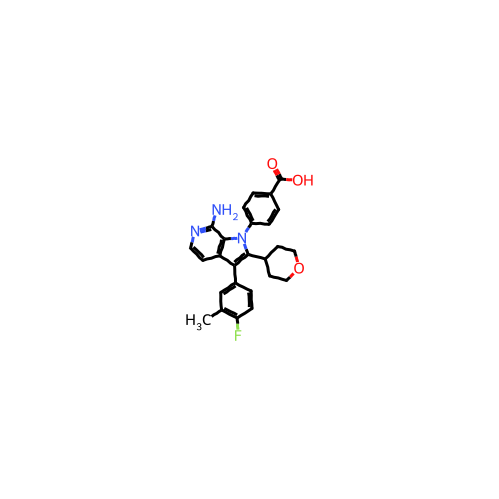 Cc1cc(-c2c(C3CCOCC3)n(-c3ccc(C(=O)O)cc3)c3c(N)nccc23)ccc1F